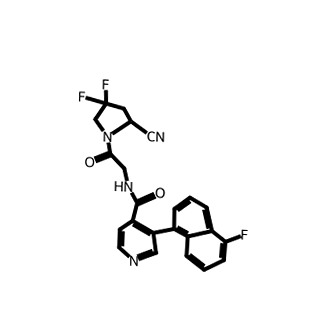 N#CC1CC(F)(F)CN1C(=O)CNC(=O)c1ccncc1-c1cccc2c(F)cccc12